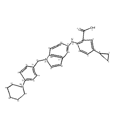 O=C(O)c1cc(C2CC2)ccc1Nc1ccc2c(ccn2Cc2ccc(N3CCCCC3)cc2)c1